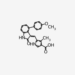 COc1ccc(-c2cccc3c2/C(=C/c2[nH]cc(C(=O)O)c2C)C(=O)N3)cc1